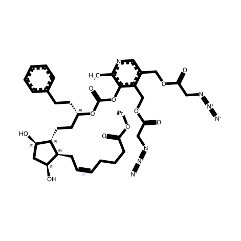 Cc1ncc(COC(=O)CN=[N+]=[N-])c(COC(=O)CN=[N+]=[N-])c1OC(=O)O[C@@H](CCc1ccccc1)CC[C@@H]1[C@@H](C/C=C\CCCC(=O)OC(C)C)[C@@H](O)C[C@H]1O